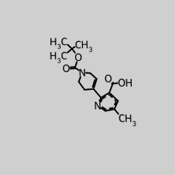 Cc1cnc(C2=CCN(C(=O)OC(C)(C)C)CC2)c(C(=O)O)c1